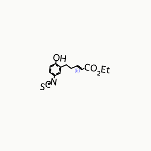 CCOC(=O)/C=C/CCc1cc(N=C=S)ccc1O